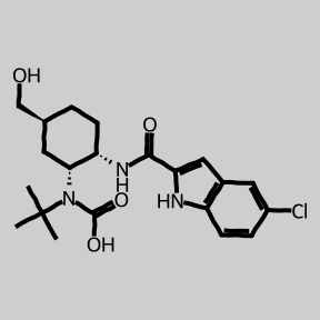 CC(C)(C)N(C(=O)O)[C@@H]1C[C@@H](CO)CC[C@@H]1NC(=O)c1cc2cc(Cl)ccc2[nH]1